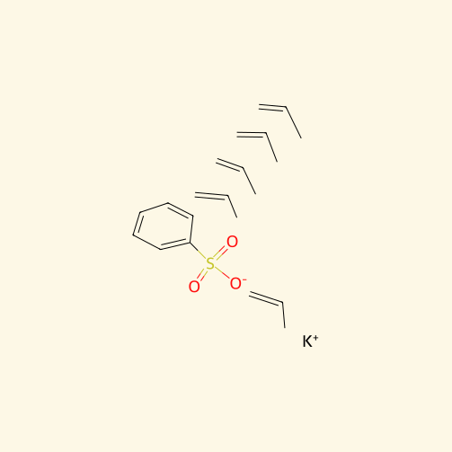 C=CC.C=CC.C=CC.C=CC.C=CC.O=S(=O)([O-])c1ccccc1.[K+]